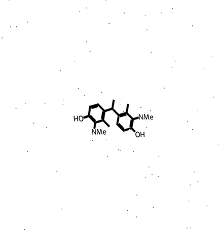 CNc1c(O)ccc(C(C)c2ccc(O)c(NC)c2C)c1C